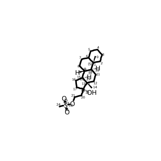 C[C@]12CCCCC1CC[C@@H]1[C@@H]2CC[C@@]2(C)[C@H]1CC[C@]2(O)CCOS(C)(=O)=O